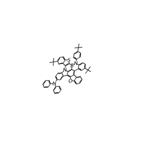 CC(C)(C)c1ccc(N2B3c4sc5ccc(C(C)(C)C)cc5c4-n4c5ccc(N(c6ccccc6)c6ccccc6)cc5c5c6oc7ccccc7c6c(c3c54)-c3cc(C(C)(C)C)ccc32)cc1